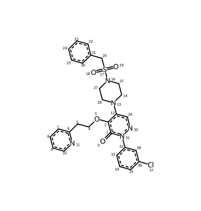 O=c1c(OCCc2ccccn2)c(N2CCN(S(=O)(=O)Cc3ccccc3)CC2)cnn1-c1cccc(Cl)c1